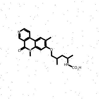 Cc1cc2c3ccncc3c(=O)n(C)c2cc1OCC(C)CC(C)NC(=O)O